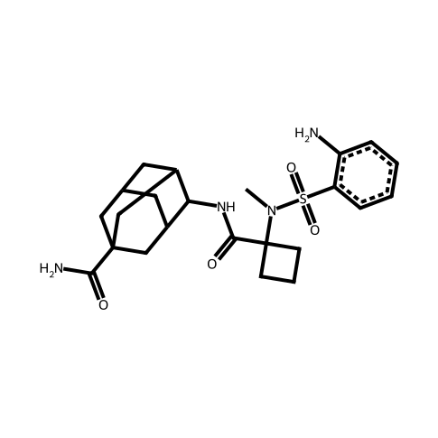 CN(C1(C(=O)NC2C3CC4CC2CC(C(N)=O)(C4)C3)CCC1)S(=O)(=O)c1ccccc1N